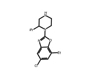 CCc1cc(Cl)cc2nc(N3CCNCC3C(C)C)oc12